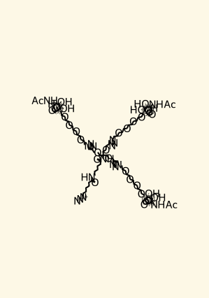 CC(=O)N[C@H]1[C@H]2OC[C@](CCOCCOCCOCCOCCn3cc(COCC(COCc4cn(CCOCCOCCOCCOC[C@@]56CO[C@@H](O5)[C@H](NC(C)=O)[C@@H](O)[C@H]6O)nn4)(COCc4cn(CCOCCOCCOCCOC[C@@]56COC(O5)[C@H](NC(C)=O)[C@@H](O)[C@H]6O)nn4)NC(=O)CCCCCNC(=O)CCCCCN=[N+]=[N-])nn3)(O2)[C@H](O)[C@@H]1O